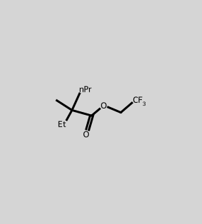 CCCC(C)(CC)C(=O)OCC(F)(F)F